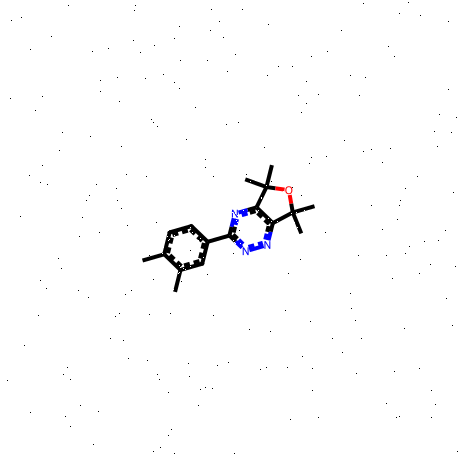 Cc1ccc(-c2nnc3c(n2)C(C)(C)OC3(C)C)cc1C